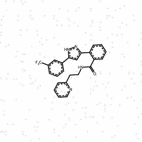 O=C(NCCc1ccccn1)c1ccccc1-c1cc(-c2cccc(C(F)(F)F)c2)[nH]n1